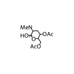 CNC1CC(OC(C)=O)C(COC(C)=O)O[C@H]1O